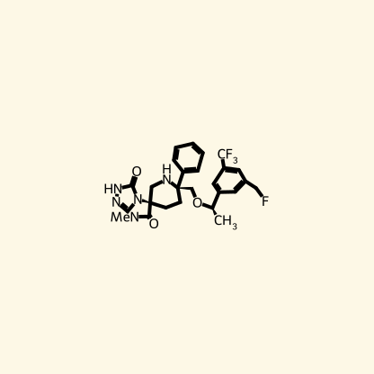 CNC(=O)[C@@]1(n2cn[nH]c2=O)CC[C@@](CO[C@H](C)c2cc(CF)cc(C(F)(F)F)c2)(c2ccccc2)NC1